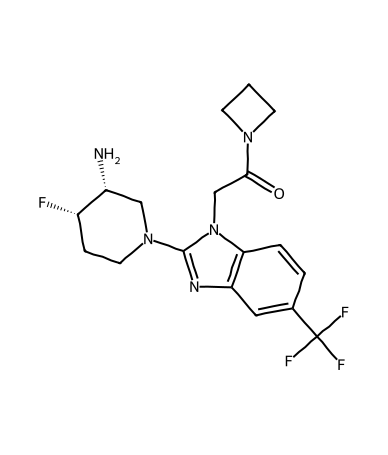 N[C@@H]1CN(c2nc3cc(C(F)(F)F)ccc3n2CC(=O)N2CCC2)CC[C@@H]1F